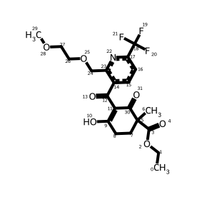 CCOC(=O)C1(C)CCC(O)=C(C(=O)c2ccc(C(F)(F)F)nc2COCCOC)C1=O